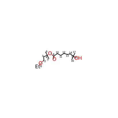 CCOCCC(C)(C)OC(=O)CCCCCC(C)(C)O